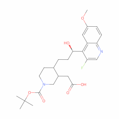 COc1ccc2ncc(F)c([C@H](O)CCC3CCN(C(=O)OC(C)(C)C)CC3CC(=O)O)c2c1